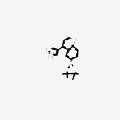 CC1(C)OB(c2ccc3nccc(-c4cn[nH]c4)c3c2)OC1(C)C